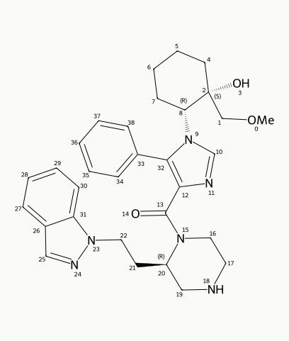 COC[C@]1(O)CCCC[C@H]1n1cnc(C(=O)N2CCNC[C@H]2CCn2ncc3ccccc32)c1-c1ccccc1